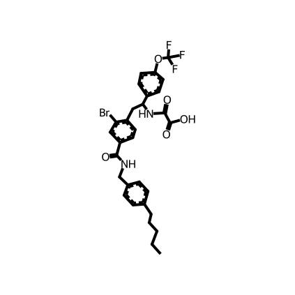 CCCCCc1ccc(CNC(=O)c2ccc(CC(NC(=O)C(=O)O)c3ccc(OC(F)(F)F)cc3)c(Br)c2)cc1